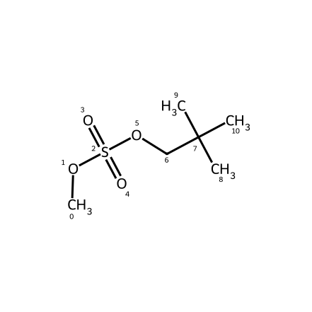 COS(=O)(=O)OCC(C)(C)C